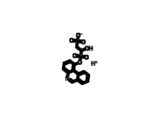 O=S(=O)([O-])CC(O)S(=O)(=O)Oc1cccc2ncc3ccccc3c12.[H+]